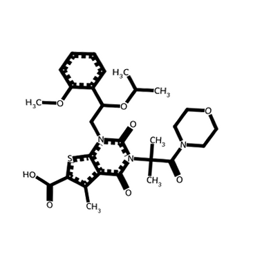 COc1ccccc1C(Cn1c(=O)n(C(C)(C)C(=O)N2CCOCC2)c(=O)c2c(C)c(C(=O)O)sc21)OC(C)C